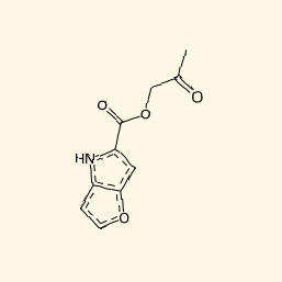 CC(=O)COC(=O)c1cc2occc2[nH]1